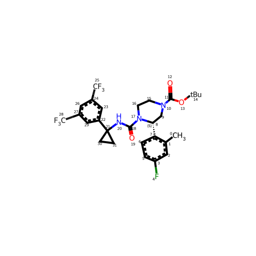 Cc1cc(F)ccc1[C@H]1CN(C(=O)OC(C)(C)C)CCN1C(=O)NC1(c2cc(C(F)(F)F)cc(C(F)(F)F)c2)CC1